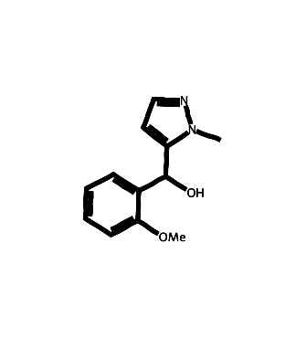 COc1ccccc1C(O)c1ccnn1C